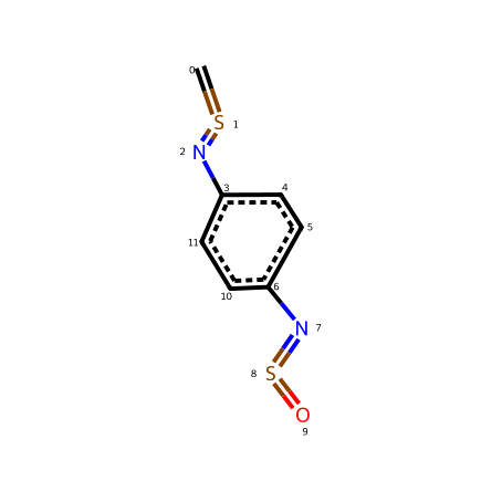 C=S=Nc1ccc(N=S=O)cc1